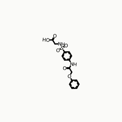 O=C(O)CNS(=O)(=O)c1ccc(NC(=O)COc2ccccc2)cc1